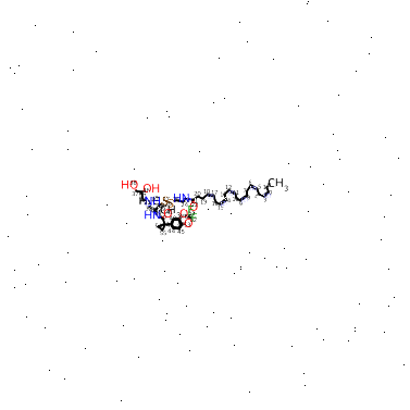 CC/C=C\C/C=C\C/C=C\C/C=C\C/C=C\C/C=C\CCC(=O)NCCSSC(C)(C)[C@@H](CNC[C@@H](O)CO)NC(=O)C1(c2ccc3c(c2)OC(F)(F)O3)CC1